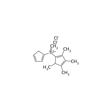 [CH2]=[Ti+2]([C]1=CC=CC1)[C]1=C(C)C(C)=C(C)C1C.[Cl-].[Cl-]